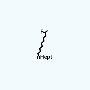 CCCCCCCCCCCCCCCC(C)F